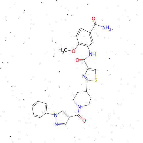 COc1ccc(C(N)=O)cc1NC(=O)c1csc(C2CCN(C(=O)c3cnn(-c4ccccc4)c3)CC2)n1